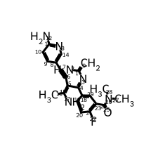 C=C(N)/N=C(\C(C#Cc1ccc(N)nc1)=C(\C)N)c1ccc(F)c(C(=O)N(C)C)c1